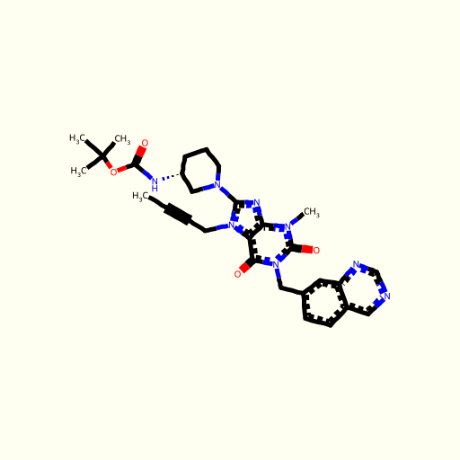 CC#CCn1c(N2CCC[C@@H](NC(=O)OC(C)(C)C)C2)nc2c1c(=O)n(Cc1ccc3cncnc3c1)c(=O)n2C